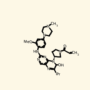 C=CC(=O)N1CC[C@H](N2c3nc(Nc4ccc(N5CCN(C)CC5)cc4OC)ncc3N=C(C(C)C)C2O)C1